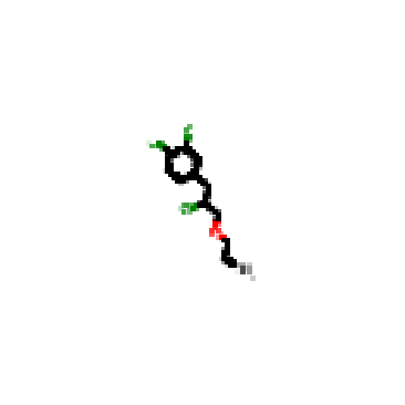 C=CCOCC(Cl)Cc1ccc(Cl)c(Cl)c1